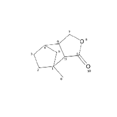 CC12CCC(C1)C1COC(=O)C12